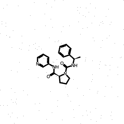 C[C@@H](NC(=O)N1CCC[C@H]1C(=O)Nc1cccnc1)c1ccccc1